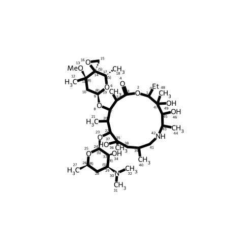 CCC1OC(=O)C(C)C(O[C@H]2C[C@@](C)(OC)[C@]3(CO3)[C@H](C)O2)C(C)C(O[C@@H]2O[C@H](C)C[C@H](N(C)C)[C@H]2O)C(C)(O)CC(C)CNC(C)C(O)C1(C)O